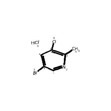 Cc1ncc(Br)cc1Cl.Cl